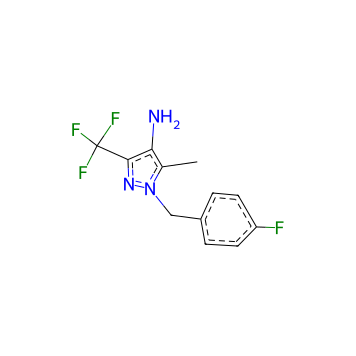 Cc1c(N)c(C(F)(F)F)nn1Cc1ccc(F)cc1